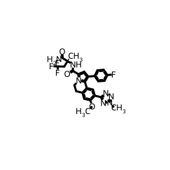 COc1cc2c(cc1-c1nnn(C)n1)-c1c(-c3ccc(F)cc3)cc(C(=O)N[C@@](C)(CC(F)(F)F)C(N)=O)n1CC2